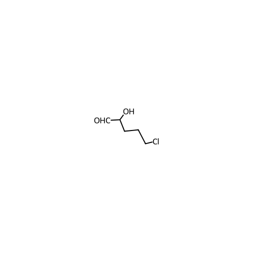 O=CC(O)CCCCl